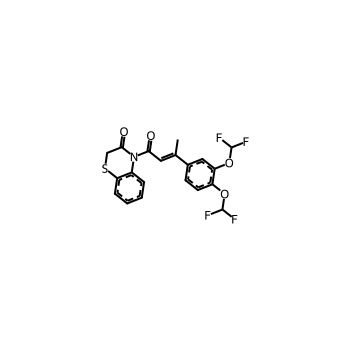 C/C(=C\C(=O)N1C(=O)CSc2ccccc21)c1ccc(OC(F)F)c(OC(F)F)c1